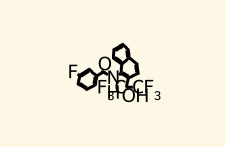 O=C(Nc1c(C(O)(C(F)(F)F)C(F)(F)F)ccc2ccccc12)c1cccc(F)c1